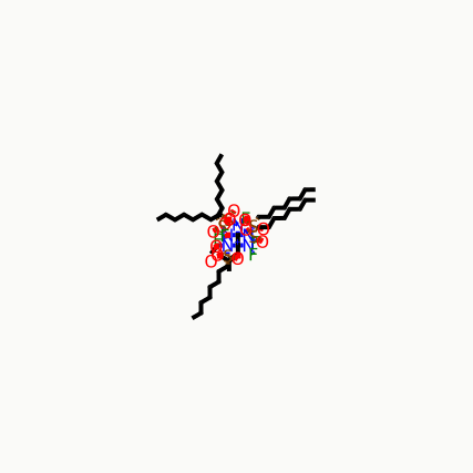 CCCCCCCCS(=O)(=O)N(F)C(N(F)S(=O)(=O)CCCCCCCC)(N(F)S(=O)(=O)CCCCCCCC)C(C=C(C)C(=O)[O-])(N(F)S(=O)(=O)CCCCCCCC)[N+](F)(CC)S(=O)(=O)CCCCCCCC